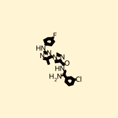 Cc1cnc(Nc2ccc(F)cc2)nc1-n1cnc(C(=O)NC[C@H](N)c2cccc(Cl)c2)c1